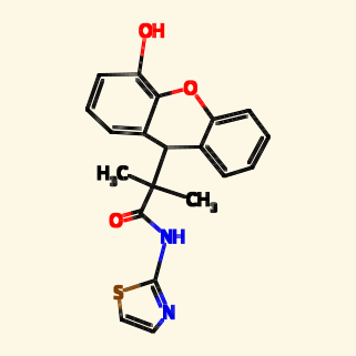 CC(C)(C(=O)Nc1nccs1)C1c2ccccc2Oc2c(O)cccc21